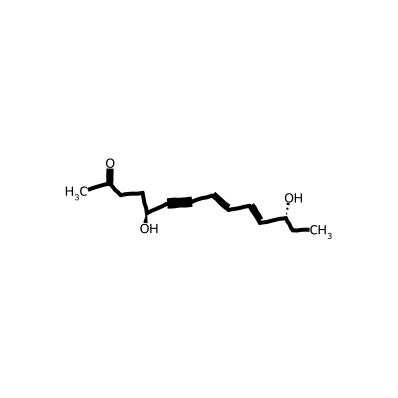 CC[C@@H](O)/C=C/C=C/C#C[C@@H](O)CCC(C)=O